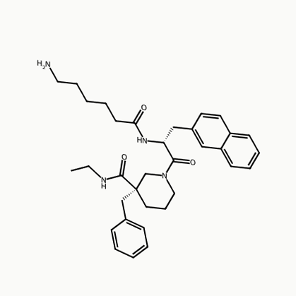 CCNC(=O)[C@]1(Cc2ccccc2)CCCN(C(=O)[C@@H](Cc2ccc3ccccc3c2)NC(=O)CCCCCN)C1